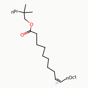 CCCCCCCC/C=C\CCCCCCCC(=O)OCC(C)(C)CCC